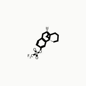 O=S(=O)(Oc1ccc2c(c1)[C@]13CCCCC1[C@@H](CCC3)C2)C(F)(F)F